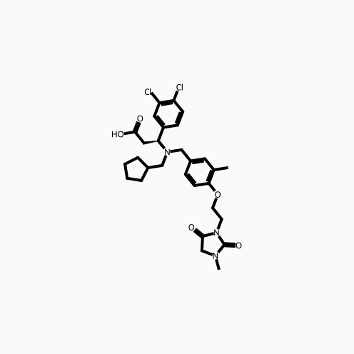 Cc1cc(CN(CC2CCCC2)[C@@H](CC(=O)O)c2ccc(Cl)c(Cl)c2)ccc1OCCN1C(=O)CN(C)C1=O